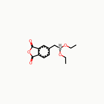 CCO[SiH](Cc1ccc2c(c1)C(=O)OC2=O)OCC